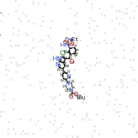 CCN(C)S(=O)(=O)Nc1ccc(F)c(C(=O)c2c[nH]c3ncc(-c4ccc(N5CCN(C(=O)OC(C)(C)C)CC5)nc4)cc23)c1Cl